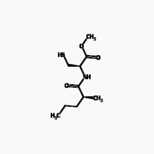 CCC[C@H](C)C(=O)N[C@@H](CS)C(=O)OC